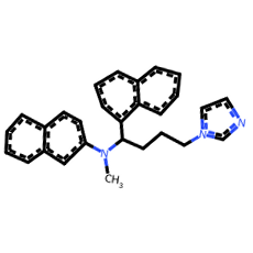 CN(c1ccc2ccccc2c1)C(CCCn1ccnc1)c1cccc2ccccc12